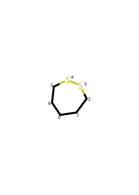 C1CCSSCC1